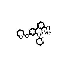 CSc1c(-c2ccc(OC3CCCCO3)cc2OC2CCCCO2)[c]ccc1Cl